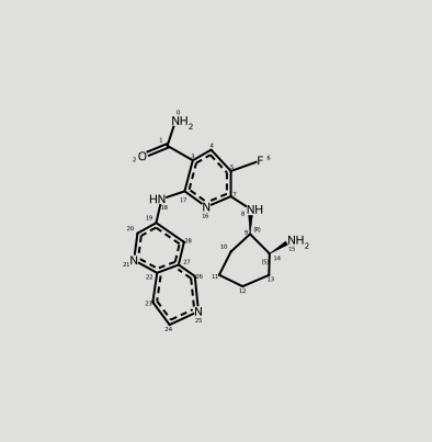 NC(=O)c1cc(F)c(N[C@@H]2CCCC[C@@H]2N)nc1Nc1cnc2ccncc2c1